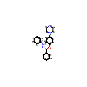 c1ccc(COc2ccc(N3CC[N]CC3)cc2Nc2ccccc2)cc1